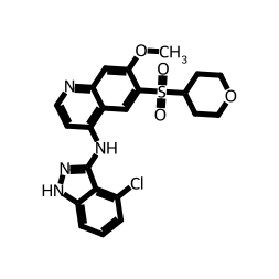 COc1cc2nccc(Nc3n[nH]c4cccc(Cl)c34)c2cc1S(=O)(=O)C1CCOCC1